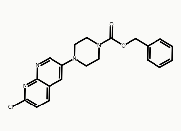 O=C(OCc1ccccc1)N1CCN(c2cnc3nc(Cl)ccc3c2)CC1